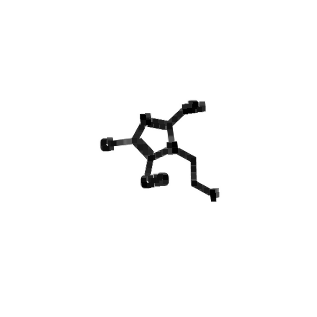 CCCCc1nc(Cl)c(C=O)n1CCF